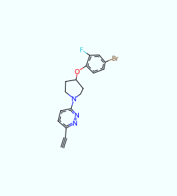 C#Cc1ccc(N2CCC(Oc3ccc(Br)cc3F)CC2)nn1